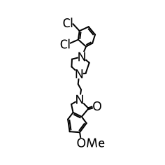 COc1ccc2c(c1)C(=O)N(CCN1CCN(c3cccc(Cl)c3Cl)CC1)C2